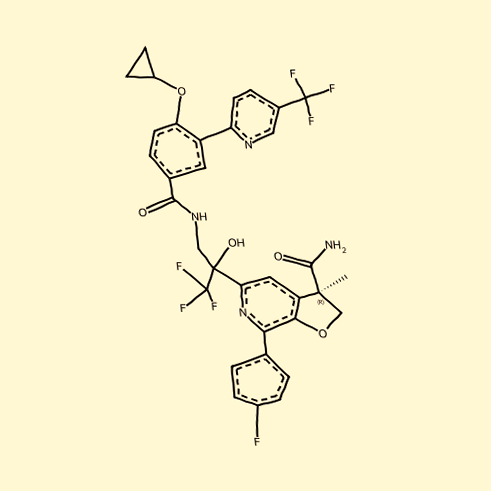 C[C@]1(C(N)=O)COc2c1cc(C(O)(CNC(=O)c1ccc(OC3CC3)c(-c3ccc(C(F)(F)F)cn3)c1)C(F)(F)F)nc2-c1ccc(F)cc1